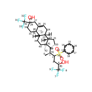 C[C@H](C(C[C@@H](O)C(F)(F)F)S(=O)(=O)c1ccccc1)[C@H]1CC[C@H]2[C@@H]3CC=C4C[C@](O)(C(F)(F)F)CC[C@]4(C)[C@H]3CC[C@]12C